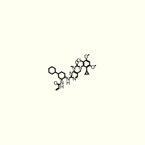 C=CC(=O)N[C@H]1CC(C2CCCCC2)CC[C@H]1Nc1ncc2c(n1)N(C)C(=O)N(c1c(Cl)c(OC)cc(OC)c1C1CC1)C2